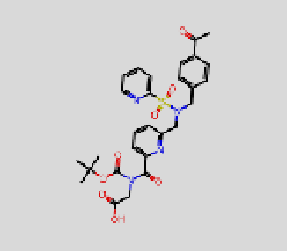 CC(=O)c1ccc(CN(Cc2cccc(C(=O)N(CC(=O)O)C(=O)OC(C)(C)C)n2)S(=O)(=O)c2ccccn2)cc1